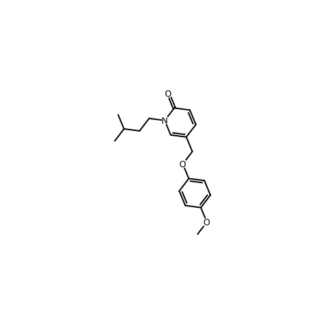 COc1ccc(OCc2ccc(=O)n(CCC(C)C)c2)cc1